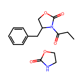 CCC(=O)N1C(=O)OCC1Cc1ccccc1.O=C1NCCO1